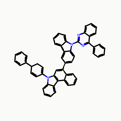 C1=CC(c2ccccc2)CC=C1n1c2ccccc2c2c3ccccc3c(-c3ccc4c(c3)c3ccccc3n4-c3nc(-c4ccccc4)c4ccccc4n3)cc21